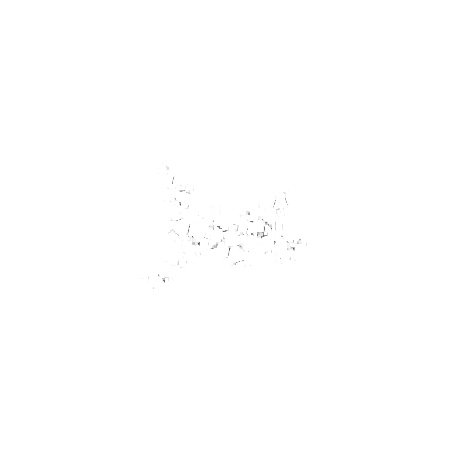 CC/C=C/C(=O)NCc1ccccc1C[C@H](NC(=O)Cc1ccccc1CNC(=O)[C@H](Cc1ccco1)NC(=O)[C@@H]1CCCN(C(C)=O)C1)C(=O)NCCOCCN